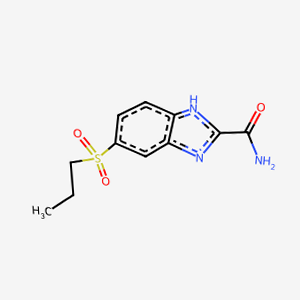 CCCS(=O)(=O)c1ccc2[nH]c(C(N)=O)nc2c1